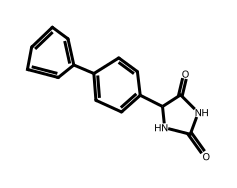 O=C1NC(=O)C(c2ccc(-c3ccccc3)cc2)N1